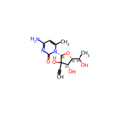 C#CC1(O)[C@@H](O)[C@@H]([C@@H](C)O)O[C@H]1n1c(C)cc(N)nc1=O